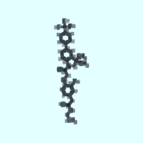 CCOC(=O)Cc1ccc(OCC(=O)N2CC(C)(C)c3cc(-c4ccc(C(F)(F)F)cc4)ccc32)c(F)c1